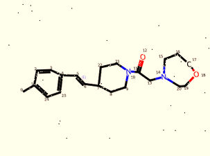 Cc1ccc(/C=C/C2CCN(C(=O)CN3CCCOCC3)CC2)cc1